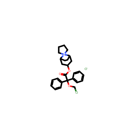 O=C(OC1CC2CCC(C1)[N+]21CCCC1)C(OCCl)(c1ccccc1)c1ccccc1.[Cl-]